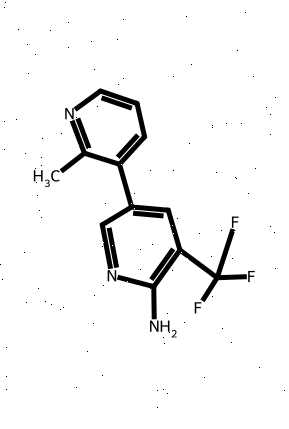 Cc1ncccc1-c1cnc(N)c(C(F)(F)F)c1